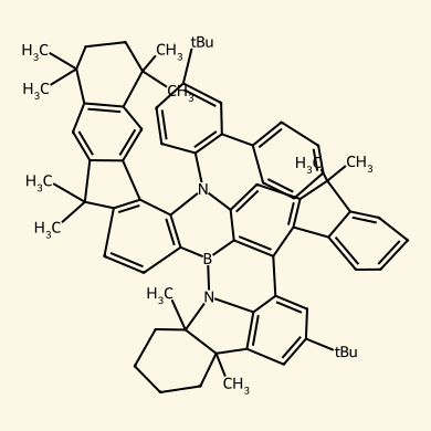 CC(C)(C)c1ccc(N2c3cc4c(c5c3B(c3ccc6c(c32)-c2cc3c(cc2C6(C)C)C(C)(C)CCC3(C)C)N2c3c-5cc(C(C)(C)C)cc3C3(C)CCCCC23C)-c2ccccc2C4(C)C)c(-c2ccccc2)c1